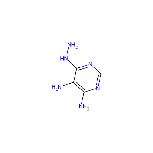 NNc1ncnc(N)c1N